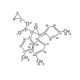 Cc1ccc(C2(C(=O)OC3CC3)OC2(c2ccc(C)cc2)c2ccc(C)cc2)cc1